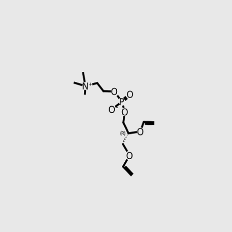 C=COC[C@H](COP(=O)([O-])OCC[N+](C)(C)C)OC=C